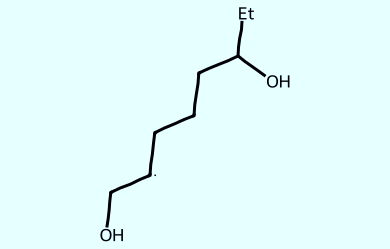 CCC(O)CCC[CH]CO